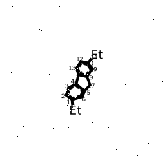 CCc1ccc2c(c1)[CH]c1cc(CC)ccc1-2